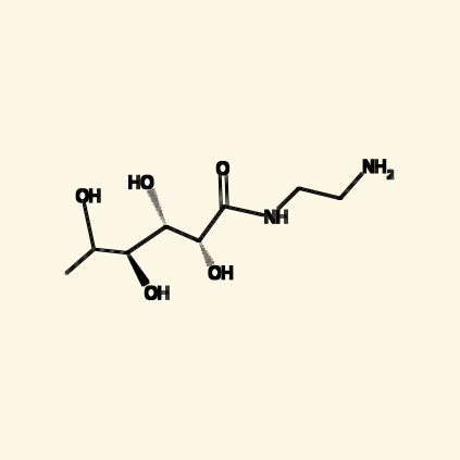 CC(O)[C@H](O)[C@H](O)[C@@H](O)C(=O)NCCN